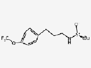 CC(C)(C)[S@+]([O-])NCCCc1ccc(OC(F)(F)F)cc1